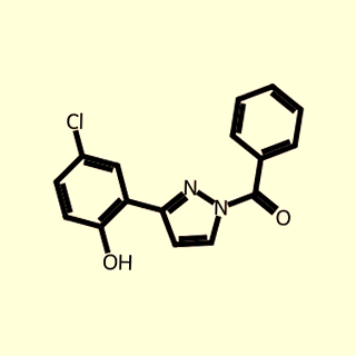 O=C(c1ccccc1)n1ccc(-c2cc(Cl)ccc2O)n1